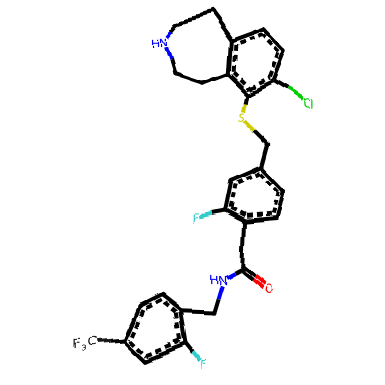 O=C(NCc1ccc(C(F)(F)F)cc1F)c1ccc(CSc2c(Cl)ccc3c2CCNCC3)cc1F